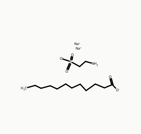 CCCCCCCCCCCC(=O)[O-].NCCS(=O)(=O)[O-].[Na+].[Na+]